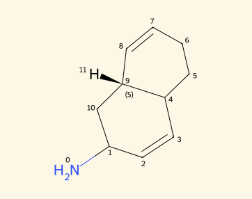 NC1C=CC2CCC=C[C@H]2C1